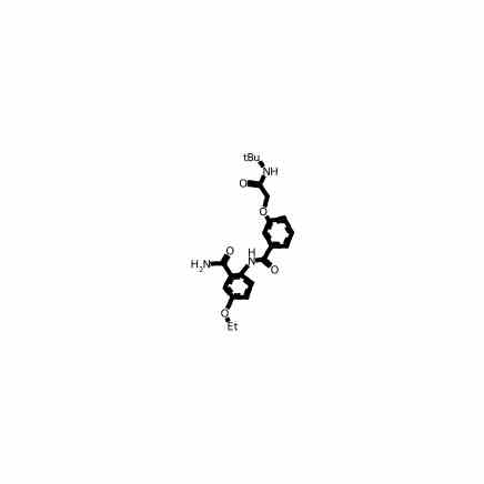 CCOc1ccc(NC(=O)c2cccc(OCC(=O)NC(C)(C)C)c2)c(C(N)=O)c1